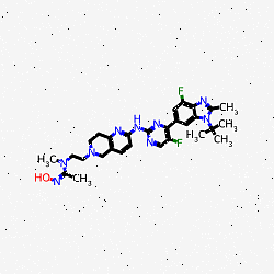 C/C(=N/O)N(C)CCN1CCc2nc(Nc3ncc(F)c(-c4cc(F)c5nc(C)n(C(C)(C)C)c5c4)n3)ccc2C1